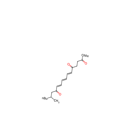 CCCCC(C)CC(=O)C=CC=CC=CC(=O)CCC(=O)OC